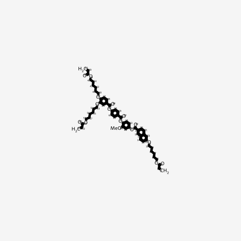 C=CC(=O)OCCCCCCOc1ccc2cc(C(=O)Oc3ccc(OC(=O)c4ccc(OC(=O)c5ccc(OCCCCCCOC(=O)C=C)c(OCCCCCCOC(=O)C=C)c5)cc4)c(OC)c3)ccc2c1